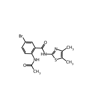 CC(=O)Nc1ccc(Br)cc1C(=O)Nc1nc(C)c(C)s1